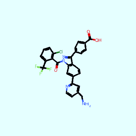 NCc1ccnc(-c2ccc3c(-c4ccc(C(=O)O)cc4)nn(C(=O)c4c(Cl)cccc4C(F)(F)F)c3c2)c1